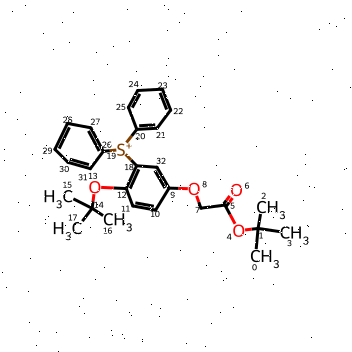 CC(C)(C)OC(=O)COc1ccc(OC(C)(C)C)c([S+](c2ccccc2)c2ccccc2)c1